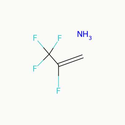 C=C(F)C(F)(F)F.N